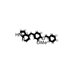 COc1cc(Cc2ccnc3[nH]ccc23)ccc1OCc1ccccc1